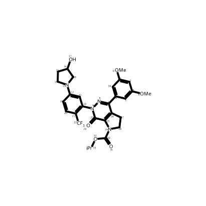 COc1cc(OC)cc(-c2nn(-c3cc(N4CCC(O)C4)ccc3C(F)(F)F)c(=O)c3c2CCN3C(=O)OC(C)C)c1